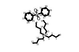 CCCC[N+](CCCC)(CCCC)CCCC.O=S(=O)(c1ccccc1)c1ccccc1